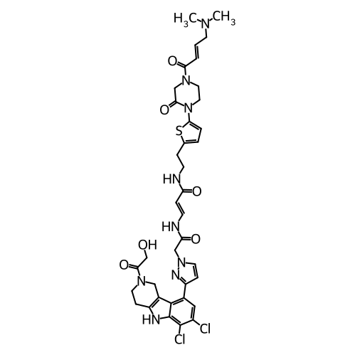 CN(C)CC=CC(=O)N1CCN(c2ccc(CCNC(=O)/C=C/NC(=O)Cn3ccc(-c4cc(Cl)c(Cl)c5[nH]c6c(c45)CN(C(=O)CO)CC6)n3)s2)C(=O)C1